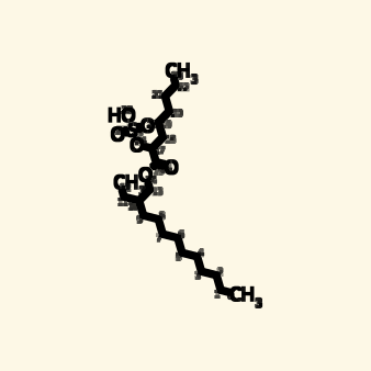 CCCCCCCCCCC(CC)COC(=O)C(CCCCCC)OS(=O)(=O)O